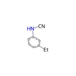 CCc1cccc(NC#N)c1